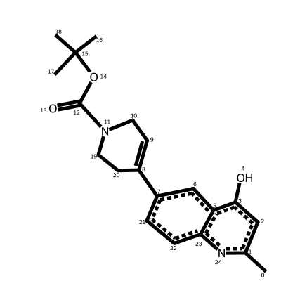 Cc1cc(O)c2cc(C3=CCN(C(=O)OC(C)(C)C)CC3)ccc2n1